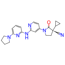 N#C[C@@]1(C2CC2)CCN(c2ccnc(Nc3cccc(N4CCCC4)n3)c2)C1=O